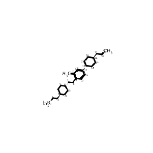 CCC[C@H]1CC[C@H](CCc2ccc([C@H]3CC[C@H](CCC)CC3)cc2C)CC1